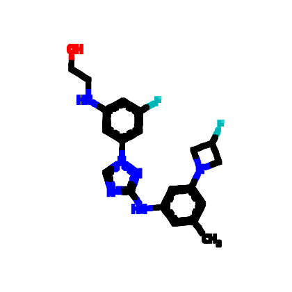 Cc1cc(Nc2ncn(-c3cc(F)cc(NCCO)c3)n2)cc(N2CC(F)C2)c1